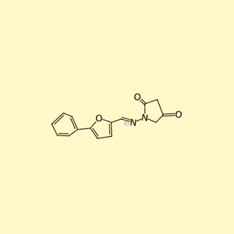 O=C1CC(=O)N(/N=C/c2ccc(-c3ccccc3)o2)C1